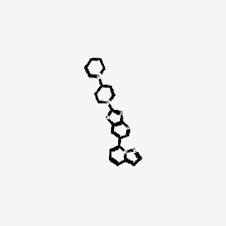 c1cc(-c2cnc3nc(N4CCC(N5CCCCC5)CC4)sc3c2)n2nccc2c1